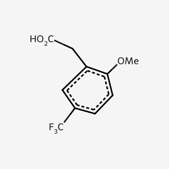 COc1ccc(C(F)(F)F)cc1CC(=O)O